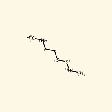 CNCCSSNC